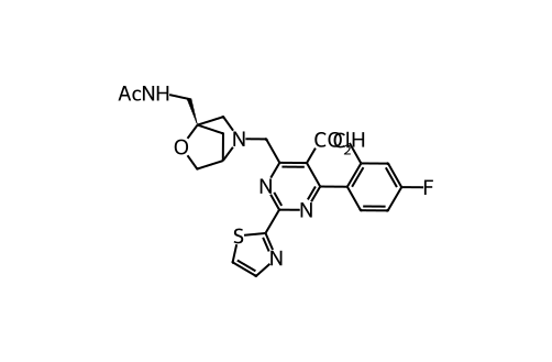 CC(=O)NC[C@@]12CC(CO1)N(Cc1nc(-c3nccs3)nc(-c3ccc(F)cc3Cl)c1C(=O)O)C2